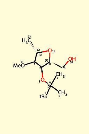 COC1C(O[Si](C)(C)C(C)(C)C)[C@@H](CO)O[C@H]1C